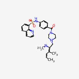 C=N/C(CN1CCN(C(=O)c2ccc(NS(=O)(=O)c3cccc4cccnc34)cc2)CC1)=C(\C=C/C)C(F)(F)F